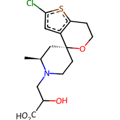 C[C@H]1C[C@@]2(CCN1CC(O)C(=O)O)OCCc1sc(Cl)cc12